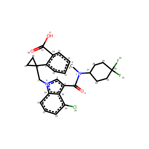 CN(C(=O)c1cn(CC2(c3ccccc3C(=O)O)CC2)c2cccc(Cl)c12)C1CCC(F)(F)CC1